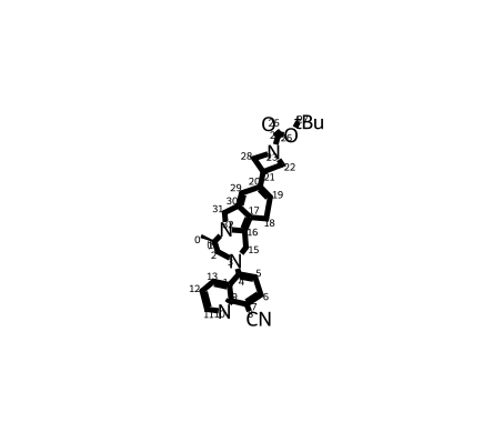 C[C@@H]1CN(c2ccc(C#N)c3ncccc23)CC2=C3CC=C(C4CN(C(=O)OC(C)(C)C)C4)C=C3CN21